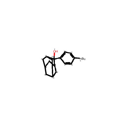 CCCCc1ccc(C2(O)C3CC4CC(C3)CC2C4)cc1